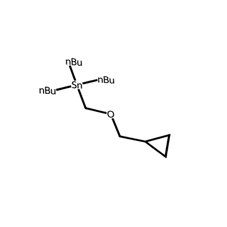 CCC[CH2][Sn]([CH2]CCC)([CH2]CCC)[CH2]OCC1CC1